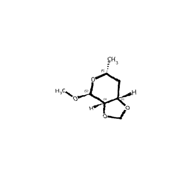 CO[C@H]1O[C@H](C)C[C@@H]2OCO[C@H]12